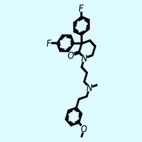 COc1cccc(CCN(C)CCCN2CCCC(c3ccc(F)cc3)(c3ccc(F)cc3)C2=O)c1